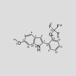 COc1ccc2cc(-c3ccccc3OC(F)(F)F)[nH]c2c1